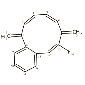 C=c1ccccc(=C)c2ccccc2cc1F